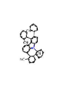 N#Cc1cccc(C#N)c1-c1c(-c2ccccc2)ccc2c1c1cccc(-c3c(C#N)cccc3C#N)c1n2-c1ccccc1